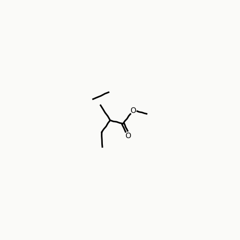 CC.CCC(C)C(=O)OC